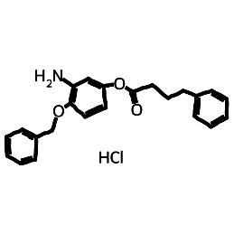 Cl.Nc1cc(OC(=O)CCCc2ccccc2)ccc1OCc1ccccc1